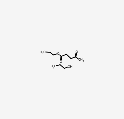 CCCO.CCCOC(=O)CCC(C)=O